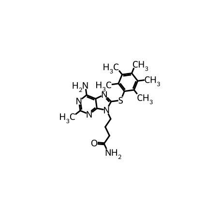 Cc1nc(N)c2nc(Sc3c(C)c(C)c(C)c(C)c3C)n(CCCC(N)=O)c2n1